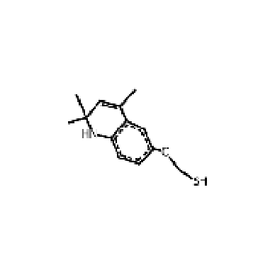 CC1=CC(C)(C)Nc2ccc(OCS)cc21